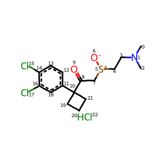 CN(C)CC[S+]([O-])CC(=O)C1(c2ccc(Cl)c(Cl)c2)CCC1.Cl